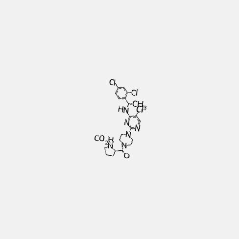 C[C@@H](Nc1nc(N2CCN(C(=O)[C@H]3CCCN3C(=O)O)CC2)ncc1Cl)c1ccc(Cl)cc1Cl